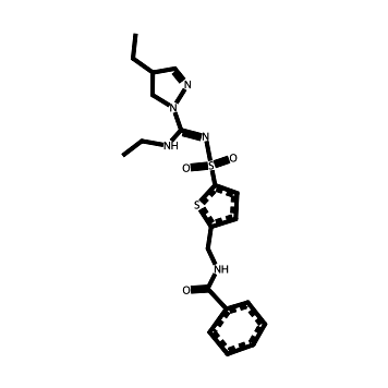 CCN/C(=N\S(=O)(=O)c1ccc(CNC(=O)c2ccccc2)s1)N1CC(CC)C=N1